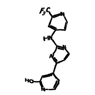 Oc1cc(-c2ccnc(Nc3ccnc(C(F)(F)F)c3)n2)ccn1